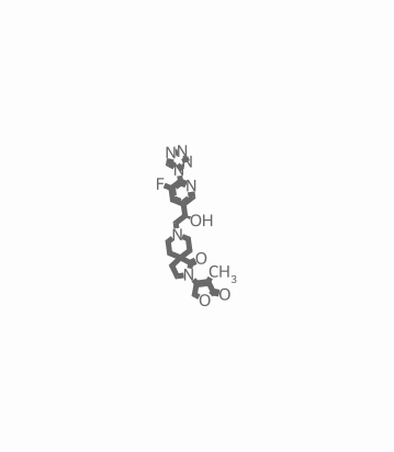 CC1=C(N2CCC3(CCN(C[C@H](O)c4cnc(-n5cnnn5)c(F)c4)CC3)C2=O)COC1=O